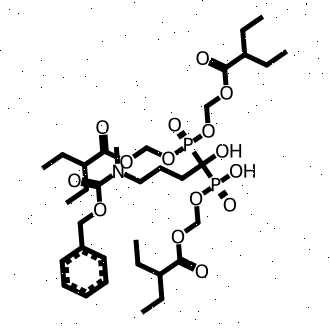 CCC(CC)C(=O)OCOP(=O)(O)C(O)(CCCN(C)C(=O)OCc1ccccc1)P(=O)(OCOC(=O)C(CC)CC)OCOC(=O)C(CC)CC